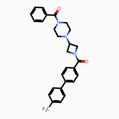 O=C(c1ccccc1)N1CCN(C2CN(C(=O)c3ccc(-c4ccc(C(F)(F)F)cc4)cc3)C2)CC1